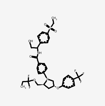 CCC(F)(F)OC[C@@H]1C[C@@H](Oc2ccc(C(F)(F)F)cc2)CN1c1ccc(C(=O)NC(CO)c2ccc(S(=O)(=O)CC)cc2)cc1